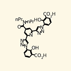 CCCN(CCC)C(=O)c1cc(-c2cn(-c3cccc(C(=O)O)c3O)nn2)nc(-c2cn(-c3cccc(C(=O)O)c3O)nn2)c1